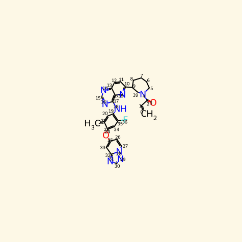 C=CC(=O)N1CCCCC(c2ccc3ncnc(Nc4cc(C)c(Oc5ccn6ncnc6c5)cc4F)c3n2)C1